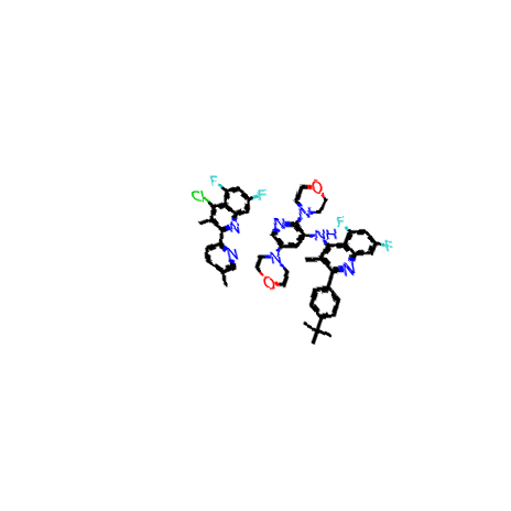 Cc1c(-c2ccc(C(C)(C)C)cc2)nc2cc(F)cc(F)c2c1Nc1cc(N2CCOCC2)cnc1N1CCOCC1.Cc1ccc(-c2nc3cc(F)cc(F)c3c(Cl)c2C)nc1